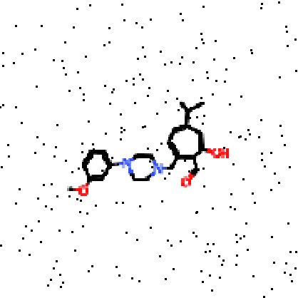 COc1cccc(N2CCN(CC3=CC=C(C(C)C)C=C(O)C3C=O)CC2)c1